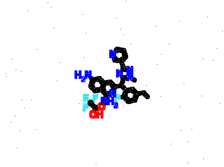 CCc1ccc(F)c(C(c2cc3cc(N)ccc3c(N)n2)c2nc(-c3cccnc3)nn2C)c1.O=C(O)C(F)(F)F